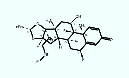 CCC[C@H]1O[C@@H]2C[C@H]3[C@@H]4C[C@H](F)C5=CC(=O)C=C[C@]5(C)[C@@]4(F)[C@@H](O)C[C@]3(C)[C@]2(C(=O)CNC(C)C)O1